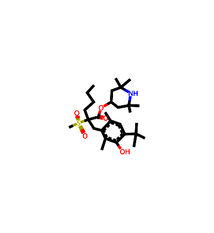 CCCCC(Cc1c(C)cc(C(C)(C)C)c(O)c1C)(C(=O)OC1CC(C)(C)NC(C)(C)C1)S(C)(=O)=O